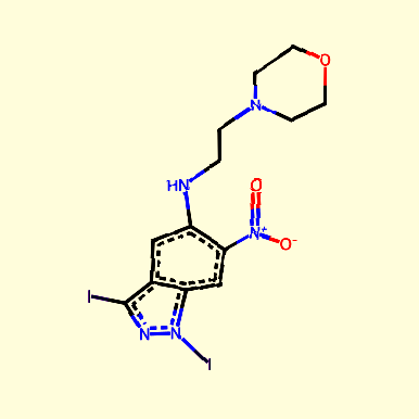 O=[N+]([O-])c1cc2c(cc1NCCN1CCOCC1)c(I)nn2I